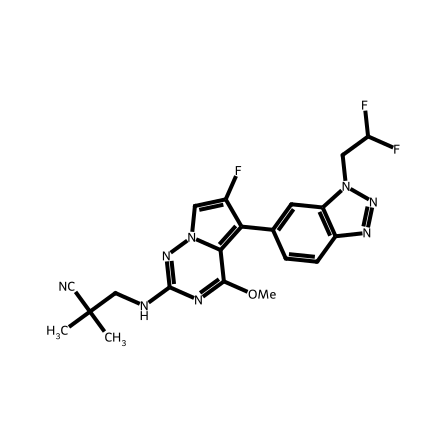 COc1nc(NCC(C)(C)C#N)nn2cc(F)c(-c3ccc4nnn(CC(F)F)c4c3)c12